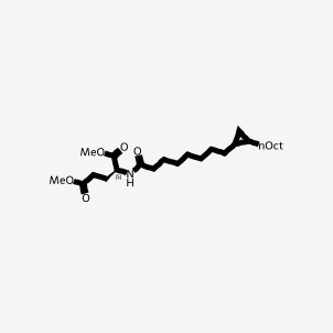 CCCCCCCCC1CC1CCCCCCCC(=O)N[C@@H](CCC(=O)OC)C(=O)OC